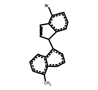 Cc1cccc2c(C3C=Cc4c(Br)cccc43)cccc12